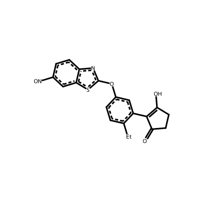 CCc1ccc(Oc2nc3ccc(N=O)cc3s2)cc1C1=C(O)CCC1=O